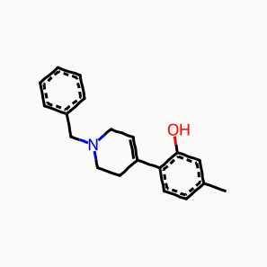 Cc1ccc(C2=CCN(Cc3ccccc3)CC2)c(O)c1